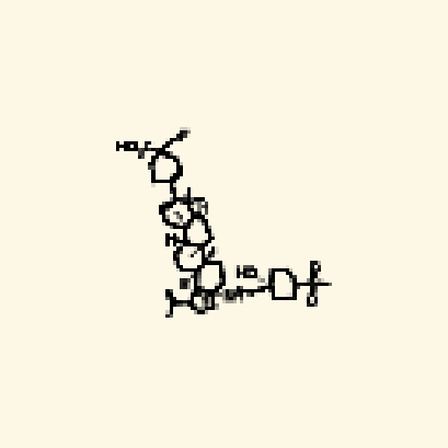 C=C(C)[C@@H]1CC[C@]2(NCC[C@]3(O)CC[C@H](S(C)(=O)=O)CC3)CC[C@]3(C)[C@H](CC[C@@H]4[C@@]5(C)CC=C(C6=CCC(CF)(C(=O)O)CC6)C(C)(C)[C@@H]5CC[C@]43C)[C@@H]12